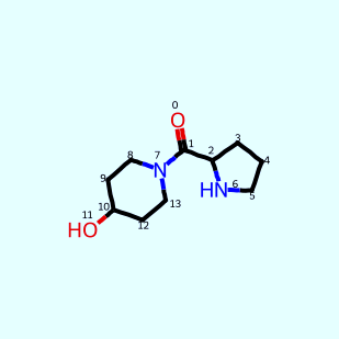 O=C(C1CCCN1)N1CCC(O)CC1